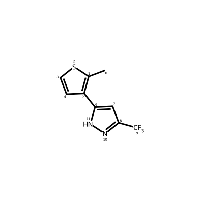 Cc1sccc1-c1cc(C(F)(F)F)n[nH]1